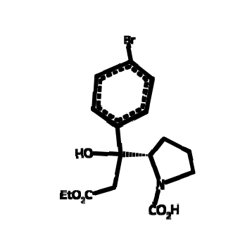 CCOC(=O)CC(O)(c1ccc(Br)cc1)[C@@H]1CCCN1C(=O)O